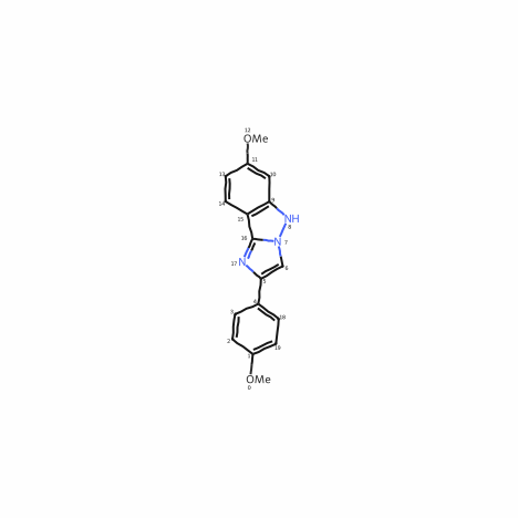 COc1ccc(-c2cn3[nH]c4cc(OC)ccc4c3n2)cc1